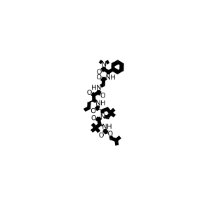 CCC[C@H](NC(=O)[C@@H]1CC(C)(C)CN1C(=O)[C@@H](NC(=O)OCC(C)C)C(C)(C)C)C(=O)C(=O)NCC(=O)NC(C(=O)N(C)C)c1ccccc1